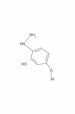 CC(C)Oc1ccc(NN)cc1.Cl